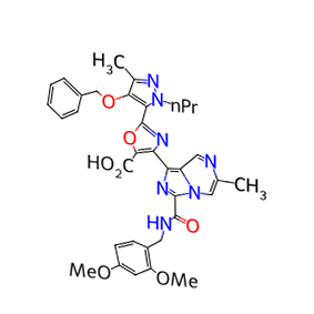 CCCn1nc(C)c(OCc2ccccc2)c1-c1nc(-c2nc(C(=O)NCc3ccc(OC)cc3OC)n3cc(C)ncc23)c(C(=O)O)o1